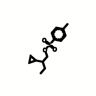 CCC(COS(=O)(=O)c1ccc(C)cc1)C1CC1